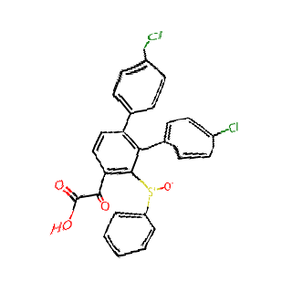 O=C(O)C(=O)c1ccc(-c2ccc(Cl)cc2)c(-c2ccc(Cl)cc2)c1[S+]([O-])c1ccccc1